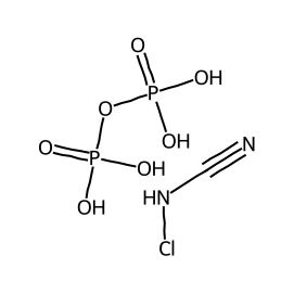 N#CNCl.O=P(O)(O)OP(=O)(O)O